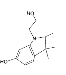 CC1N(CCO)c2cc(O)ccc2C1(C)C